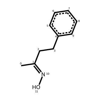 CC(CCc1ccccc1)=NO